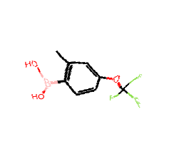 Cc1cc(OC(F)(F)F)ccc1B(O)O